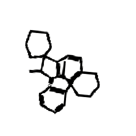 CC(C(=O)C(C)C1(c2ccccc2)CCCCC1)C1(c2ccccc2)CCCCC1